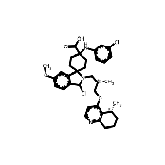 COc1ccc2c(c1)C1(CCC(Nc3cccc(Cl)c3)(C(=O)O)CC1)N(C[C@@H](C)COc1ccnc3c1[C@H](C)CCC3)C2Cl